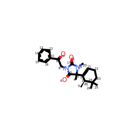 C[C@H]1C(C2(C)C(=O)N(CC(=O)c3ccccc3)C(=O)N2C)=CCCC1(C)C